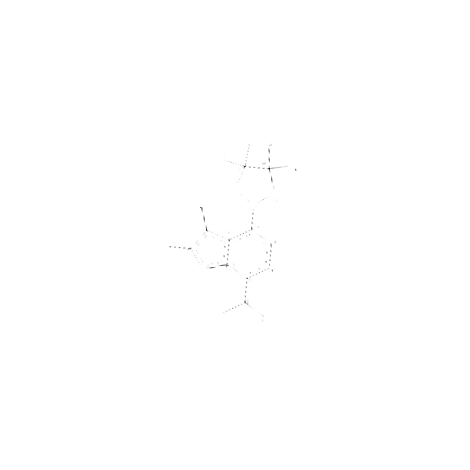 Cc1oc2c(C(C)C)ccc(B3OC(C)(C)C(C)(C)O3)c2c1C